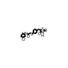 O=C(COc1ccc(/C=C2/SC(=O)NC2=O)cc1)Nc1cccc(Cl)c1